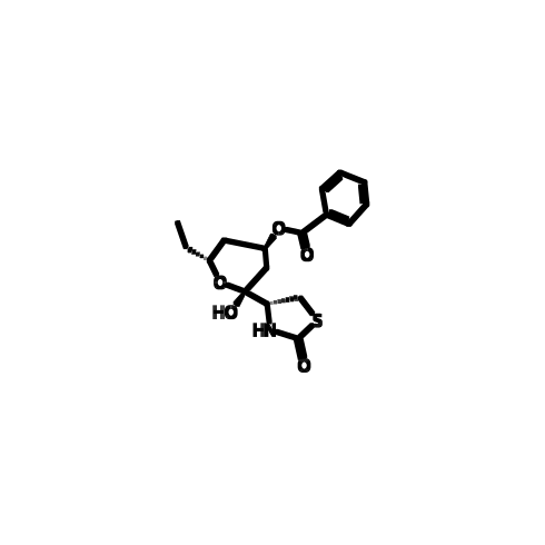 CC[C@@H]1C[C@@H](OC(=O)c2ccccc2)C[C@](O)([C@@H]2CSC(=O)N2)O1